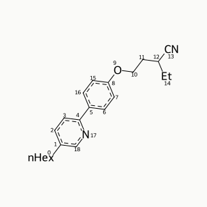 CCCCCCc1ccc(-c2ccc(OCCC(C#N)CC)cc2)nc1